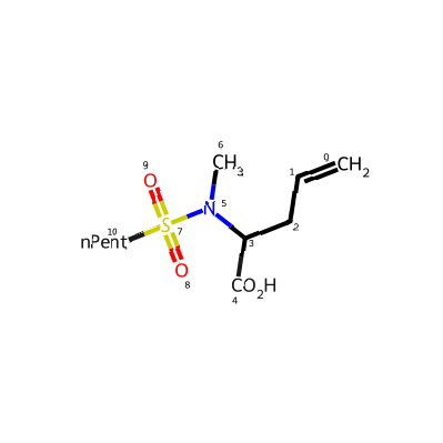 C=CCC(C(=O)O)N(C)S(=O)(=O)CCCCC